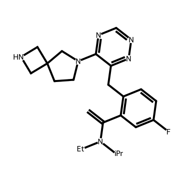 C=C(c1cc(F)ccc1Cc1nncnc1N1CCC2(CNC2)C1)N(CC)C(C)C